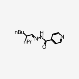 CCCCC(/C=N/NC(=O)c1ccncc1)CCC